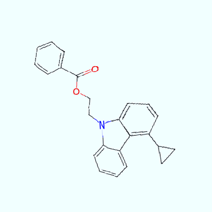 O=C(OCCn1c2ccccc2c2c(C3CC3)cccc21)c1ccccc1